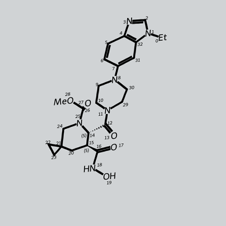 CCn1cnc2ccc(N3CCN(C(=O)[C@@H]4[C@@H](C(=O)NO)CC5(CC5)CN4C(=O)OC)CC3)cc21